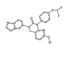 CCOc1ccc2c(n1)N(c1ccc(OC(F)F)cc1)C(=O)N(c1ccc3nccn3c1)C2